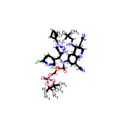 Cc1nc(F)ccc1[C@@H](c1cn(C23CC(C2)C3)nn1)N(C(=O)OCOP(=O)(OC(C)(C)C)OC(C)(C)C)c1cc(C#N)c2ncc(C#N)c(NCC(C)(C)C)c2c1